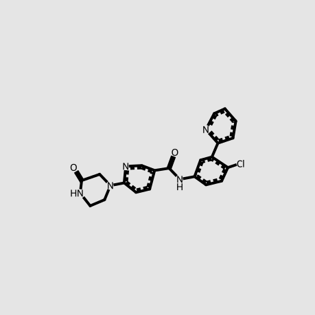 O=C1CN(c2ccc(C(=O)Nc3ccc(Cl)c(-c4ccccn4)c3)cn2)CCN1